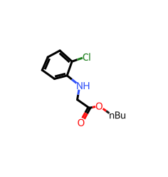 CCCCOC(=O)CNc1ccccc1Cl